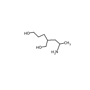 CC(N)CC(CO)CCCO